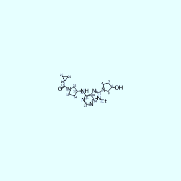 CCn1c(N2CC[C@@H](O)C2)nc2c(N[C@H]3CCN(C(=O)C4CC4)C3)ncnc21